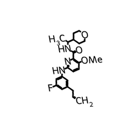 C=CCc1cc(F)cc(Nc2ccc(OC)c(C(=O)NC(C)C3CCOCC3)n2)c1